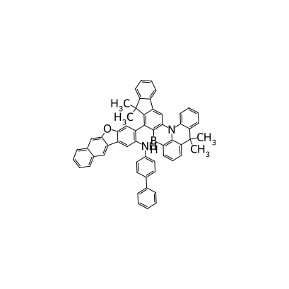 CC1(C)c2ccccc2N2c3cc4c(c(-c5cc6oc7cc8ccccc8cc7c6cc5Nc5ccc(-c6ccccc6)cc5)c3Bc3cccc1c32)C(C)(C)c1ccccc1-4